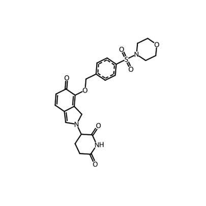 O=C1CCC(N2C=C3C=CC(=O)C(OCc4ccc(S(=O)(=O)N5CCOCC5)cc4)=C3C2)C(=O)N1